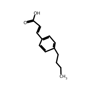 CCCCc1ccc(C=CC(=O)O)cc1